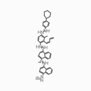 C=C/C=C\c1c(NNc2ccc(N(C)Nc3ccc(NC(C)CC)c4ccccc34)c3ccccc23)ccc(NNc2ccc(C3CCCCC3)cc2)c1C